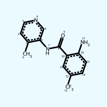 Cc1ccncc1NC(=O)c1cc(C(F)(F)F)ccc1N